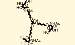 CC(=O)N[C@H]1C(O)[C@@H](O)C(CO)O[C@H]1OCCCCCOCC(C)(COCCCCCO[C@@H]1OC(CO)[C@H](O)C(O)[C@@H]1NC(C)=O)COCCCCCO[C@@H]1OC(CO)[C@H](O)C(O)[C@@H]1NC(C)=O